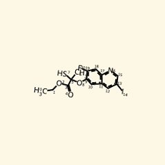 CCOC(=O)C(C)(S)Oc1cc2cc(I)cnc2cc1F